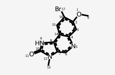 COc1cc2ncc3c([nH]c(=O)n3C)c2cc1Br